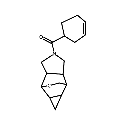 O=C(C1CC=CCC1)N1CC2C3CCC(C4CC34)C2C1